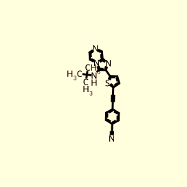 CC(C)(C)Nc1c(-c2ccc(C#Cc3ccc(C#N)cc3)s2)nc2cnccn12